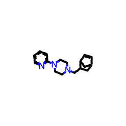 C1=CC2CC1CC2CN1CCN(c2ccccn2)CC1